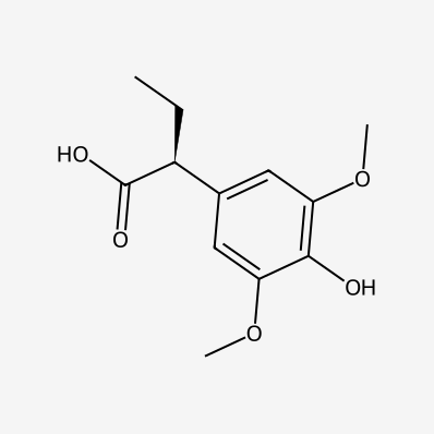 CC[C@H](C(=O)O)c1cc(OC)c(O)c(OC)c1